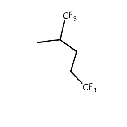 CC(CCC(F)(F)F)C(F)(F)F